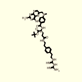 CN(Cc1cnc2nc(N)nc(N)c2n1)c1ccc(C(=O)N[C@@H](CCC(=O)NCCc2ccc(CCNC(=N)NC(=N)N)cc2)C(=O)OC(C)(C)C)cc1